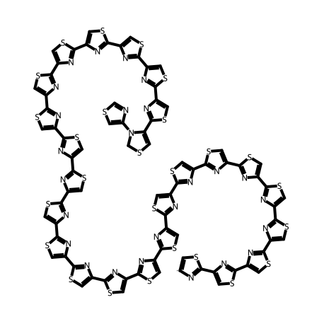 [c]1csc(-c2csc(-c3csc(-c4csc(-c5csc(-c6csc(-c7csc(-c8csc(-c9csc(-c%10csc(-c%11csc(-c%12csc(-c%13csc(-c%14csc(-c%15csc(-c%16csc(-c%17csc(-c%18csc(-c%19csc(-c%20csc(-c%21csc(-c%22csc(-c%23csc(-c%24csc(C%25=CSCN%25c%25cscn%25)n%24)n%23)n%22)n%21)n%20)n%19)n%18)n%17)n%16)n%15)n%14)n%13)n%12)n%11)n%10)n9)n8)n7)n6)n5)n4)n3)n2)n1